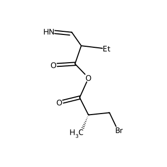 CCC(C=N)C(=O)OC(=O)[C@@H](C)CBr